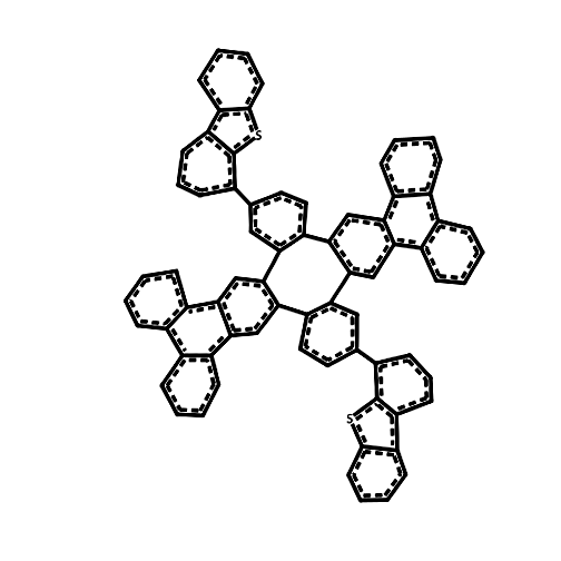 c1ccc2c(c1)sc1c(-c3ccc4c(c3)-c3cc5c6ccccc6c6ccccc6c5cc3-c3ccc(-c5cccc6c5sc5ccccc56)cc3-c3cc5c6ccccc6c6ccccc6c5cc3-4)cccc12